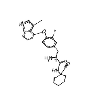 Cc1c[nH]c2nccc(Oc3ccc(C[C@H](N)C(=O)NC4(C#N)CCCCC4)cc3F)c12